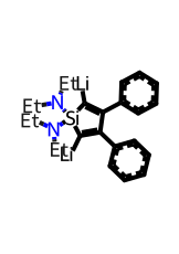 [Li][C]1=C(c2ccccc2)C(c2ccccc2)=[C]([Li])[Si]1(N(CC)CC)N(CC)CC